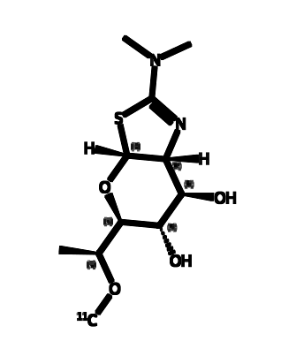 C[C@H](O[11CH3])[C@H]1O[C@@H]2SC(N(C)C)=N[C@@H]2[C@@H](O)[C@@H]1O